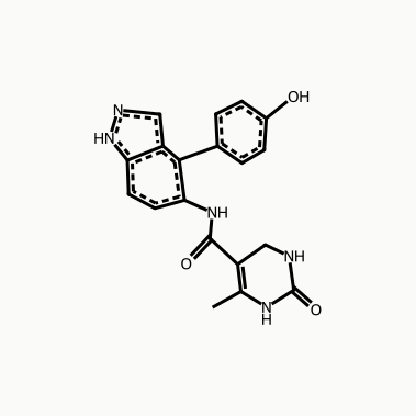 CC1=C(C(=O)Nc2ccc3[nH]ncc3c2-c2ccc(O)cc2)CNC(=O)N1